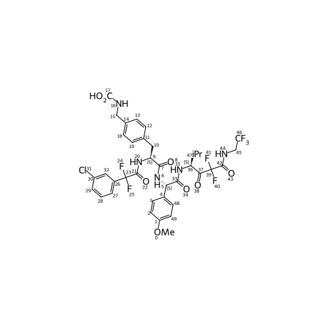 COc1ccc([C@H](NC(=O)[C@H](Cc2ccc(CNC(=O)O)cc2)NC(=O)C(F)(F)c2cccc(Cl)c2)C(=O)N[C@H](C(=O)C(F)(F)C(=O)NCC(F)(F)F)C(C)C)cc1